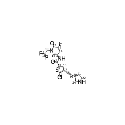 O=C(Nc1cc(F)c(=O)n(CC(F)F)c1)c1cc(C#CC2CCNC2)c(Cl)s1